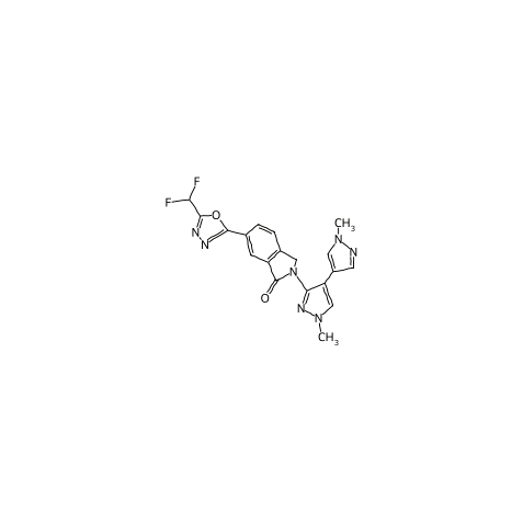 Cn1cc(-c2cn(C)nc2N2Cc3ccc(-c4nnc(C(F)F)o4)cc3C2=O)cn1